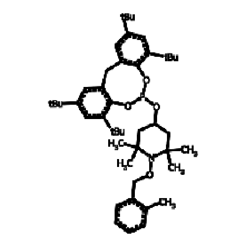 Cc1ccccc1CON1C(C)(C)CC(OP2Oc3c(cc(C(C)(C)C)cc3C(C)(C)C)Cc3cc(C(C)(C)C)cc(C(C)(C)C)c3O2)CC1(C)C